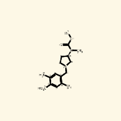 CN(C(=O)OC(C)(C)C)[C@@H]1CCN(Cc2cc(N)c(C(=O)O)cc2C(F)(F)F)C1